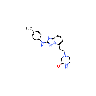 O=C1CN(CCc2cccc3nc(Nc4ccc(C(F)(F)F)cc4)nn23)CCN1